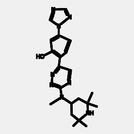 CN(c1ncc(-c2ccc(-n3cncn3)cc2O)nn1)C1CC(C)(C)NC(C)(C)C1